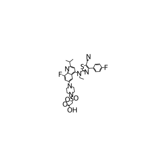 CCN(c1nc(-c2ccc(F)cc2)c(C#N)s1)c1cc(C(C)C)nc2c(F)cc(N3CCN(S(=O)(=O)CC(=O)O)CC3)cc12